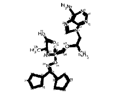 CC(Cn1cnc2c(N)ncnc21)OCP(=O)(NC(C)C(=O)O)ON=C(C1CCCC1)C1CCCC1